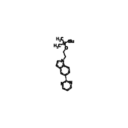 CC(C)(C)[Si](C)(C)OCCn1ccc2cc(-c3ncccn3)ccc21